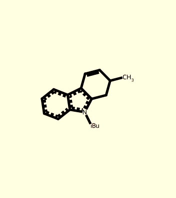 CCC(C)n1c2c(c3ccccc31)C=CC(C)C2